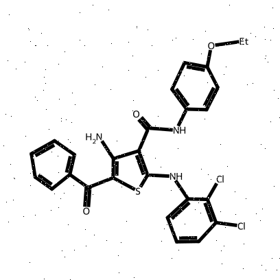 CCOc1ccc(NC(=O)c2c(Nc3cccc(Cl)c3Cl)sc(C(=O)c3ccccc3)c2N)cc1